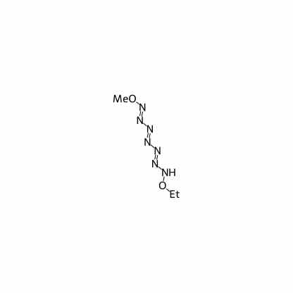 CCONN=NN=NN=NOC